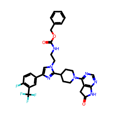 O=C1Cc2c(ncnc2N2CCC(c3nc(-c4ccc(F)c(C(F)(F)F)c4)cn3CCNC(=O)OCc3ccccc3)CC2)N1